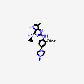 COc1cc(N2CCN(C)CC2)ccc1Nc1nc(NC2CC2)c2[nH]cc(C)c2n1